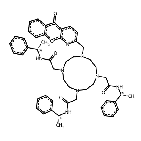 C[C@H](NC(=O)CN1CCN(CC(=O)N[C@H](C)c2ccccc2)CCN(CC(=O)N[C@H](C)c2ccccc2)CCN(Cc2ccc3c(=O)c4ccccc4oc3n2)CC1)c1ccccc1